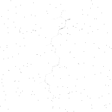 CCCCN(CCCC)C(=O)C(C)=CCCC(C)=CCCC(C)=CCCC(C)=CCCC(C)=O